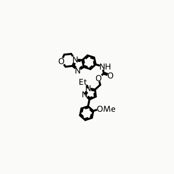 CCn1nc(-c2ccccc2OC)cc1COC(=O)Nc1ccc2c(c1)nc1n2CCOC1